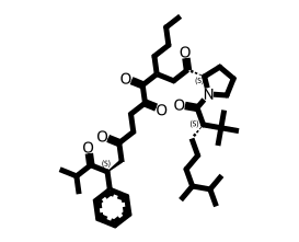 CCCCC(CC(=O)[C@@H]1CCCN1C(=O)[C@@H](CCCC(C)C(C)C)C(C)(C)C)C(=O)C(=O)CCC(=O)C[C@H](C(=O)C(C)C)c1ccccc1